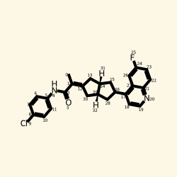 C/C(C(=O)Nc1ccc(Cl)cc1)=C1\C[C@@H]2CC(c3ccnc4ccc(F)cc34)C[C@@H]2C1